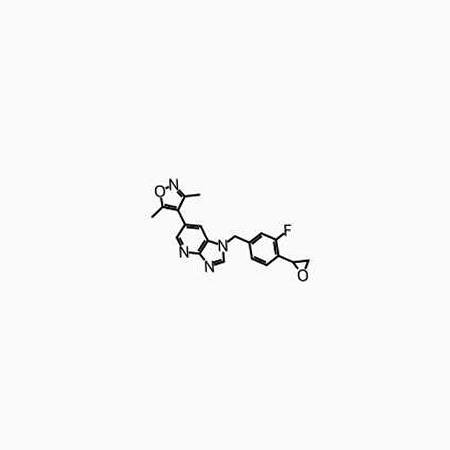 Cc1noc(C)c1-c1cnc2ncn(Cc3ccc(C4CO4)c(F)c3)c2c1